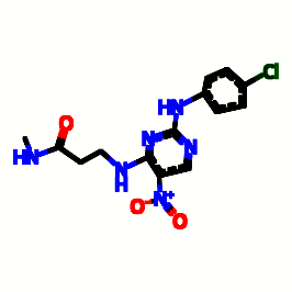 CNC(=O)CCNc1nc(Nc2ccc(Cl)cc2)ncc1[N+](=O)[O-]